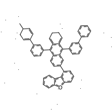 CC1C=CC(c2cccc(-c3c4c(c(-c5cccc(-c6ccccc6)c5)c5cc(-c6cccc7oc8ccccc8c67)ccc35)=CCCC=4)c2)=CC1